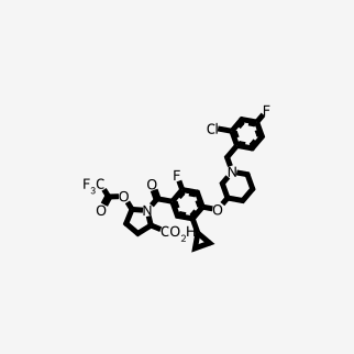 O=C(O)C1CCC(OC(=O)C(F)(F)F)N1C(=O)c1cc(C2CC2)c(OC2CCCN(Cc3ccc(F)cc3Cl)C2)cc1F